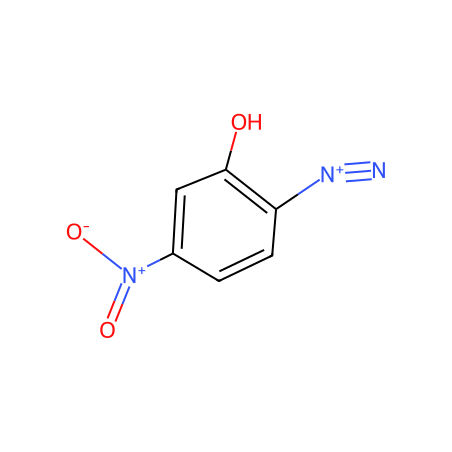 N#[N+]c1ccc([N+](=O)[O-])cc1O